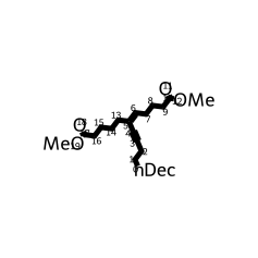 CCCCCCCCCCCCC#C/C(=C\CCCC(=O)OC)CCCCC(=O)OC